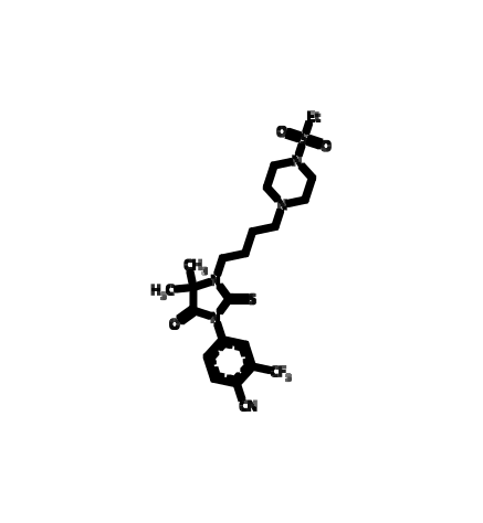 CCS(=O)(=O)N1CCN(CCCCN2C(=S)N(c3ccc(C#N)c(C(F)(F)F)c3)C(=O)C2(C)C)CC1